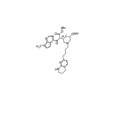 COC(C)CN(CCCCc1ccc2c(n1)NCCC2)CCC(Nc1ncnc2c1ccn2C)C(=O)OC(C)(C)C